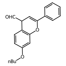 CCCCOc1ccc2c(c1)OC(c1ccccc1)=CC2C=O